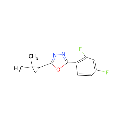 CC1(C)CC1c1nnc(-c2ccc(F)cc2F)o1